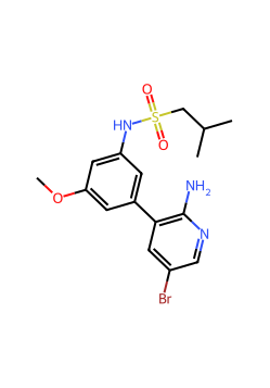 COc1cc(NS(=O)(=O)CC(C)C)cc(-c2cc(Br)cnc2N)c1